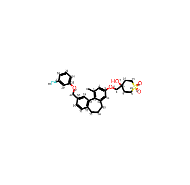 Cc1cc(OCC2(O)CCS(=O)(=O)CC2)cc2c1-c1cc(COc3cccc(F)c3)ccc1CCC2